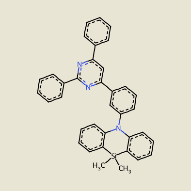 C[Si]1(C)c2ccccc2N(c2cccc(-c3cc(-c4ccccc4)nc(-c4ccccc4)n3)c2)c2ccccc21